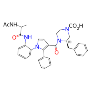 CC(=O)NC(C)C(=O)Nc1ccccc1-n1ccc(C(=O)N2CCN(C(=O)O)C[C@H]2Cc2ccccc2)c1-c1ccccc1